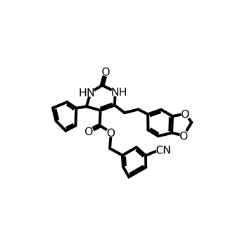 N#Cc1cccc(COC(=O)C2=C(CCc3ccc4c(c3)OCO4)NC(=O)NC2c2ccccc2)c1